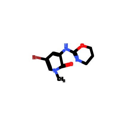 Cn1cc(Br)cc(NC2=NCCCO2)c1=O